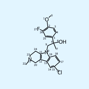 COc1ccc(C(C)(O)Cn2c3c(c4cc(Cl)ccc42)CN(C)CC3)cc1F